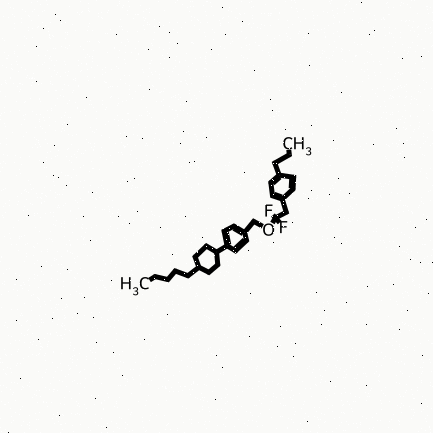 CCCCCC1CCC(c2ccc(COC(F)(F)Cc3ccc(CCC)cc3)cc2)CC1